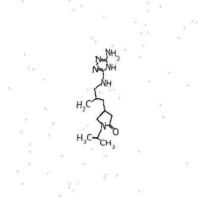 CC(CNc1nnc(N)[nH]1)CC1CC(=O)N(C(C)C)C1